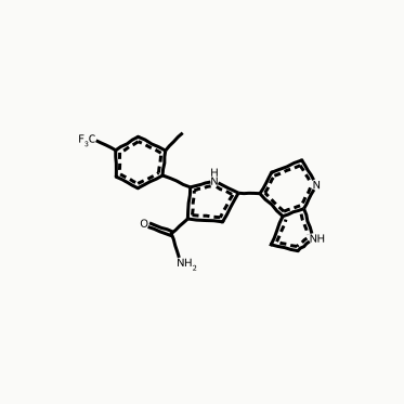 Cc1cc(C(F)(F)F)ccc1-c1[nH]c(-c2ccnc3[nH]ccc23)cc1C(N)=O